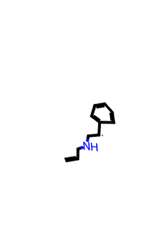 C=CCNC[CH]c1ccccc1